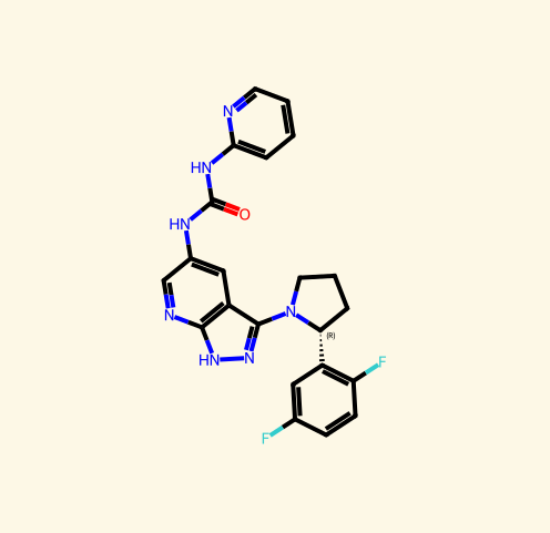 O=C(Nc1cnc2[nH]nc(N3CCC[C@@H]3c3cc(F)ccc3F)c2c1)Nc1ccccn1